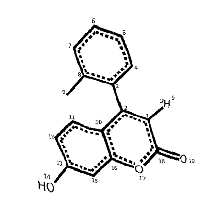 [2H]c1c(-c2ccccc2C)c2ccc(O)cc2oc1=O